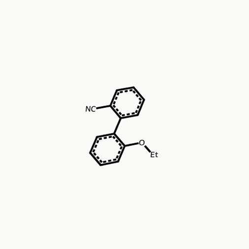 CCOc1ccccc1-c1ccccc1C#N